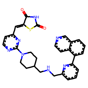 O=C1NC(=O)C(=Cc2ccnc(N3CCC(CNCc4cccc(-c5cccc6cnccc56)n4)CC3)n2)S1